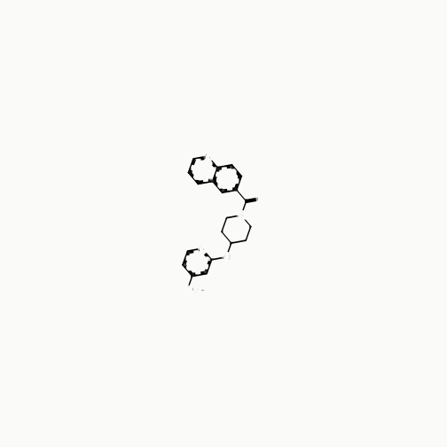 COc1ccnc(NC2CCN(C(=O)c3ccc4ncccc4c3)CC2)c1